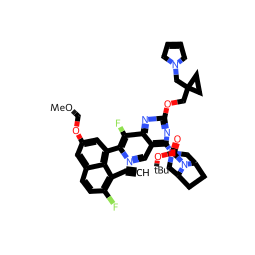 C#Cc1c(F)ccc2cc(OCOC)cc(-c3ncc4c(N5CC6CCC(C5)N6C(=O)OC(C)(C)C)nc(OCC5(CN6CC=CC6)CC5)nc4c3F)c12